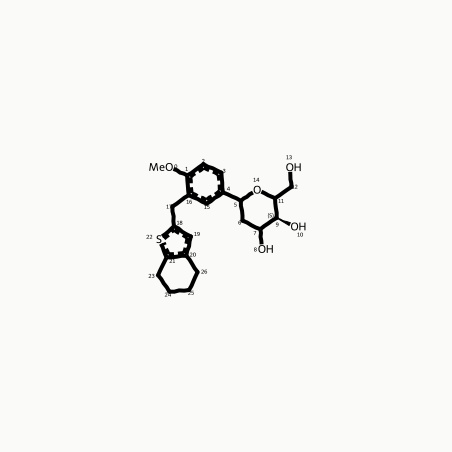 COc1ccc(C2CC(O)[C@H](O)C(CO)O2)cc1Cc1cc2c(s1)CCCC2